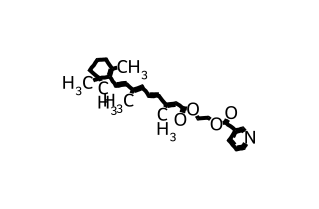 CC1=C(/C=C/C(C)=C/C=C/C(C)=C/C(=O)OCCOC(=O)c2cccnc2)C(C)(C)CCC1